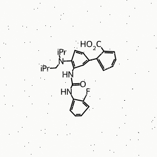 CC(C)CN(c1ccc(-c2ccccc2C(=O)O)cc1NC(=O)Nc1ccccc1F)C(C)C